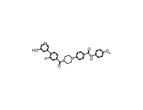 COc1ccc(NC(=O)c2ccc(N3CCN(C(=O)c4ccc(-c5cncc(O)c5)c(F)c4)CC3)cc2)cc1